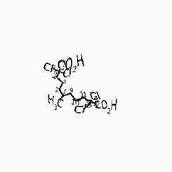 CC(CCCC(Cl)(Cl)C(=O)O)CCCC(Cl)(Cl)C(=O)O